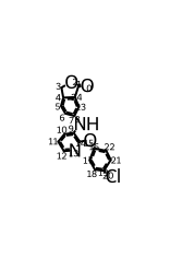 O=C1OCc2ccc(Nc3cccnc3Oc3ccc(Cl)cc3)cc21